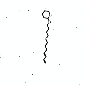 C=CC=CCCCCCCCCOC1CCCCO1